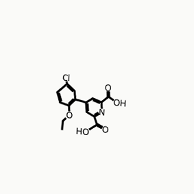 CCOc1ccc(Cl)cc1-c1cc(C(=O)O)nc(C(=O)O)c1